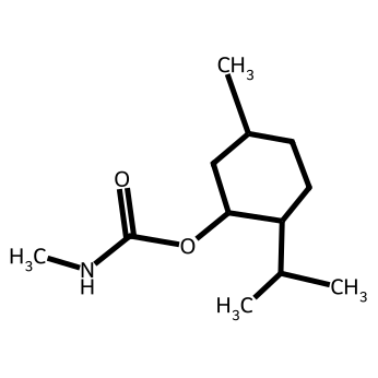 CNC(=O)OC1CC(C)CCC1C(C)C